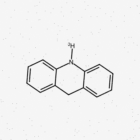 [2H]N1c2ccccc2Cc2ccccc21